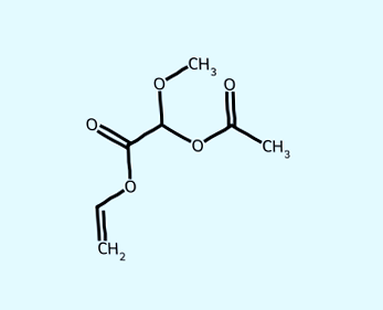 C=COC(=O)C(OC)OC(C)=O